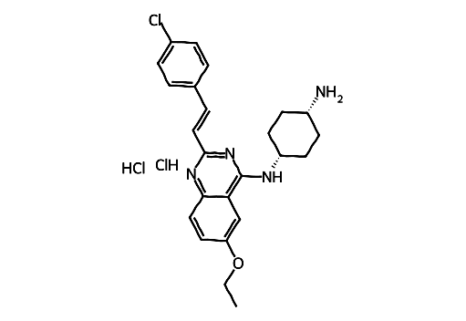 CCOc1ccc2nc(C=Cc3ccc(Cl)cc3)nc(N[C@H]3CC[C@@H](N)CC3)c2c1.Cl.Cl